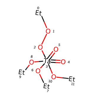 CCO[O][Ta](=[O])(=[O])([O]CC)([O]CC)[O]CC